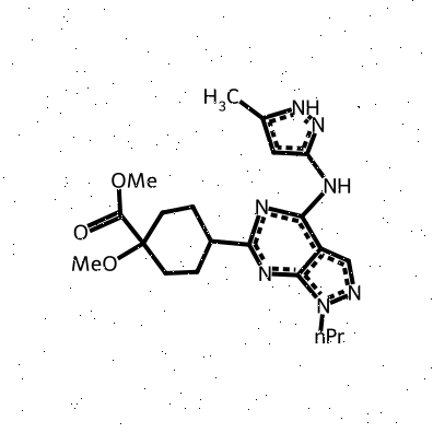 CCCn1ncc2c(Nc3cc(C)[nH]n3)nc(C3CCC(OC)(C(=O)OC)CC3)nc21